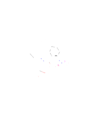 C=C1C[C@@H](C(=O)OC)N(C(=O)c2cc(CO)c(C)cc2[N+](=O)[O-])C1